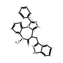 CN1C(=O)C(Cc2n[nH]c3ccccc23)c2nnc(-c3ccccc3)n2-c2ccccc21